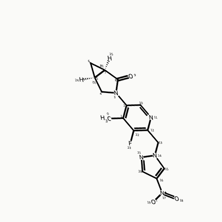 Cc1c(N2C[C@H]3C[C@H]3C2=O)cnc(Cn2cc([N+](=O)[O-])cn2)c1F